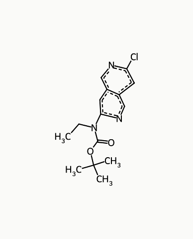 CCN(C(=O)OC(C)(C)C)c1cc2cnc(Cl)cc2cn1